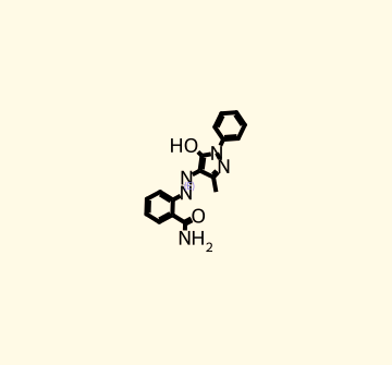 Cc1nn(-c2ccccc2)c(O)c1/N=N/c1ccccc1C(N)=O